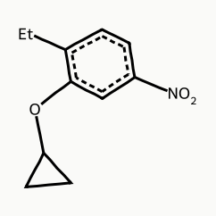 CCc1ccc([N+](=O)[O-])cc1OC1CC1